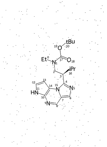 CCN(C[C@H](c1ncc2cnc3[nH]ccc3n12)C(C)C)C(=O)OC(C)(C)C